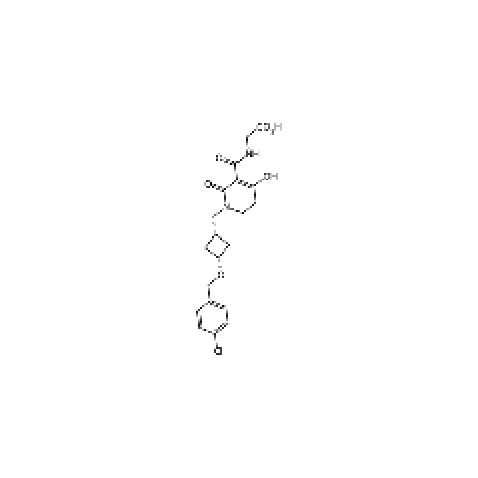 O=C(O)CNC(=O)C1=C(O)CCN(C[C@H]2C[C@@H](OCc3ccc(Cl)cc3)C2)C1=O